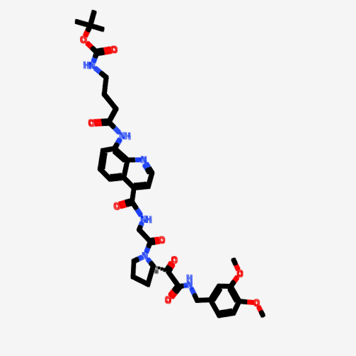 COc1ccc(CNC(=O)C(=O)[C@@H]2CCCN2C(=O)CNC(=O)c2ccnc3c(NC(=O)CCCNC(=O)OC(C)(C)C)cccc23)cc1OC